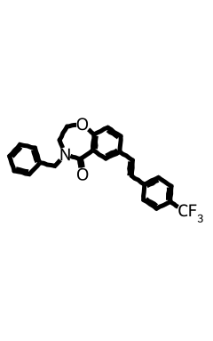 O=C1c2cc(C=Cc3ccc(C(F)(F)F)cc3)ccc2OCCN1Cc1ccccc1